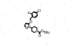 CC(C)(C)OC(=O)N1CCC(n2nccc2OCc2ccc(Cl)cc2F)CC1